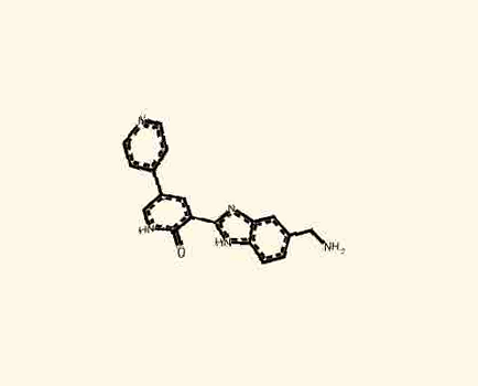 NCc1ccc2[nH]c(-c3cc(-c4ccncc4)c[nH]c3=O)nc2c1